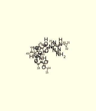 CCOC(=O)[C@@H](NP(=O)(N[C@H](C(=O)OCC)C(C)C)OC[C@H]1O[C@@H](n2cnc3c(NC4CC4)nc(N)nc32)[C@@](C)(O)C1O)C(C)C